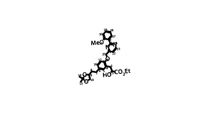 CCOC(=O)C(O)Cc1cc(CCC2COC(C)(C)O2)ccc1OCc1ccnc(-c2ccccc2OC)n1